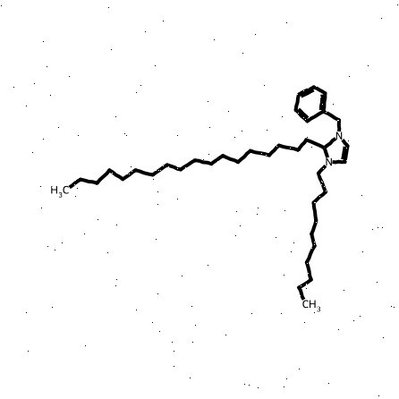 CCCCCCCCCCCCCCCCCCC1N(CCCCCCCCCC)C=CN1Cc1ccccc1